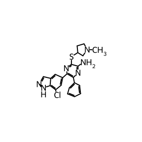 CN1CCC(Sc2nc(-c3cc(Cl)c4[nH]ncc4c3)c(-c3ccccc3)nc2N)C1